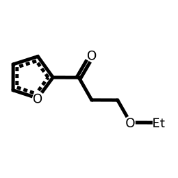 CCOCCC(=O)c1ccco1